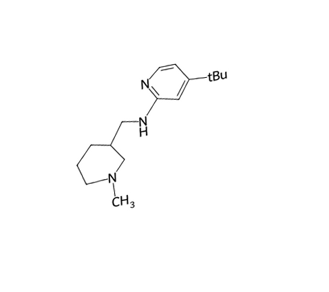 CN1CCCC(CNc2cc(C(C)(C)C)ccn2)C1